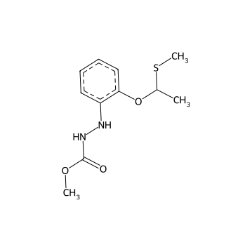 COC(=O)NNc1ccccc1OC(C)SC